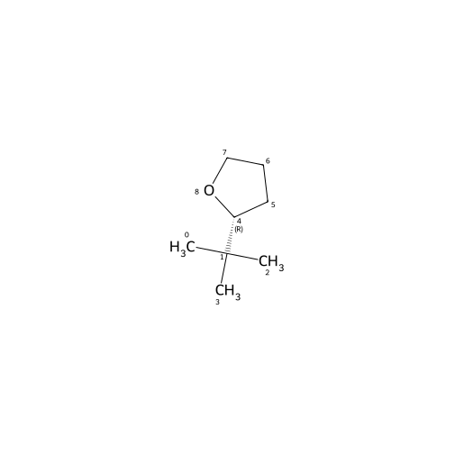 CC(C)(C)[C@H]1CCCO1